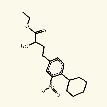 CCOC(=O)C(O)CCc1ccc(C2CCCCC2)c([N+](=O)[O-])c1